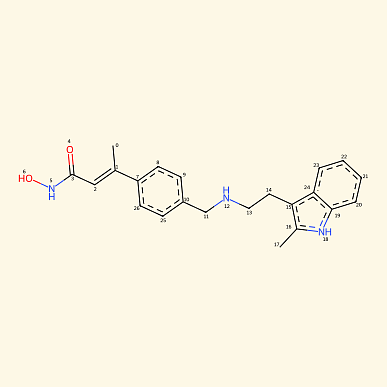 C/C(=C\C(=O)NO)c1ccc(CNCCc2c(C)[nH]c3ccccc23)cc1